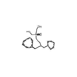 O=P(CO)(CO)CCN(Cc1ccccc1)Cc1ccccc1